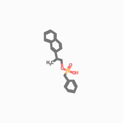 CC(COP(=O)(O)Cc1ccccc1)c1ccc2ccccc2c1